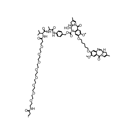 COc1cc2c(cc1OCCCCCOc1cc3c(cc1OC)C(=O)N1C=C(C)C[C@H]1[C@H](O)N3C(=O)OCc1ccc(NC(=O)C(C)NC(=O)[C@@H](NC(=O)CCOCCOCCOCCOCCOCCOCCOCCOCCNC(=O)CI)C(C)C)cc1)N=C[C@@H]1CC(C)=CN1C2=O